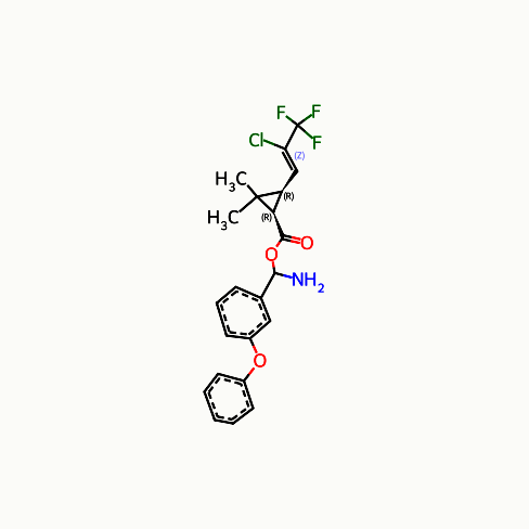 CC1(C)[C@H](C(=O)OC(N)c2cccc(Oc3ccccc3)c2)[C@@H]1/C=C(\Cl)C(F)(F)F